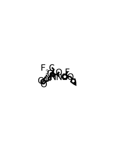 O=C(Nc1ccc(OC2CC3CC3C2)c(F)c1)c1nc(N2CC3OCOC3C2)oc1CC(F)(F)F